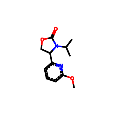 COc1cccc(C2COC(=O)N2C(C)C)n1